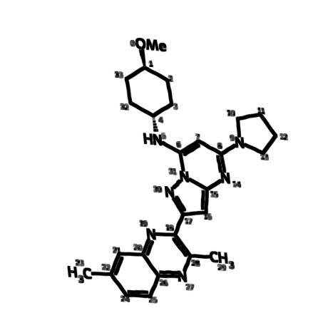 CO[C@H]1CC[C@H](Nc2cc(N3CCCC3)nc3cc(-c4nc5cc(C)ccc5nc4C)nn23)CC1